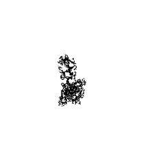 c1ccc(-c2ccc(-c3ccc(-c4nc(-c5cccc6ccc7c8ccccc8oc7c56)c5ccccc5n4)cc3)cc2)cc1